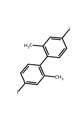 Cc1cc(I)ccc1-c1ccc(I)cc1C